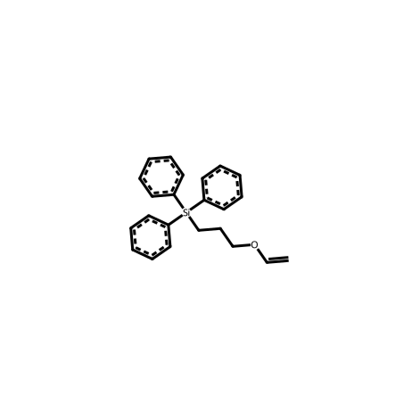 C=COCCC[Si](c1ccccc1)(c1ccccc1)c1ccccc1